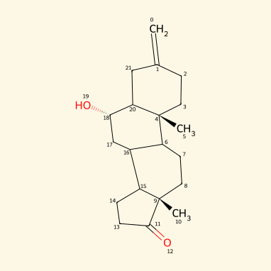 C=C1CC[C@]2(C)C3CC[C@]4(C)C(=O)CCC4C3C[C@H](O)C2C1